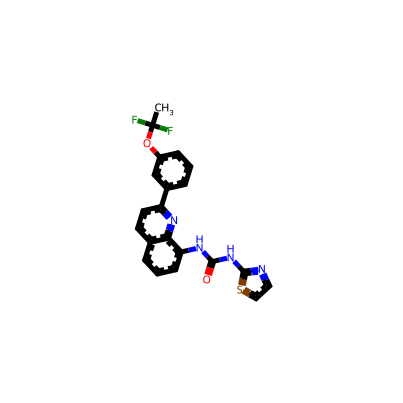 CC(F)(F)Oc1cccc(-c2ccc3cccc(NC(=O)Nc4nccs4)c3n2)c1